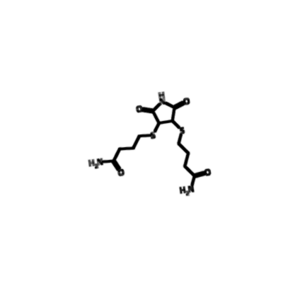 NC(=O)CCCSC1C(=O)NC(=O)C1SCCCC(N)=O